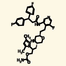 Cc1cc(C)n(C(COC(N)=O)C[C@H]2CO[C@H](CCc3c(F)cncc3NC(=O)CC(c3ccc(F)cc3)c3ccc(F)cc3)CN2)n1